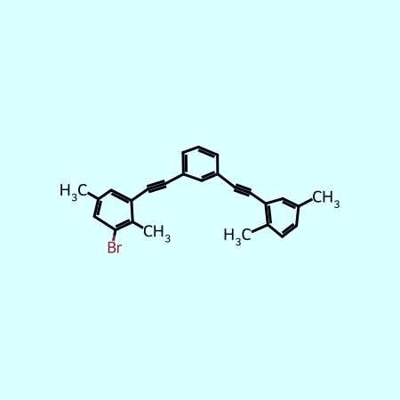 Cc1ccc(C)c(C#Cc2cccc(C#Cc3cc(C)cc(Br)c3C)c2)c1